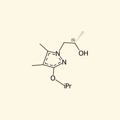 Cc1c(OC(C)C)nn(C[C@H](C)O)c1C